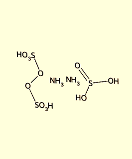 N.N.O=S(=O)(O)OOS(=O)(=O)O.O=S(O)O